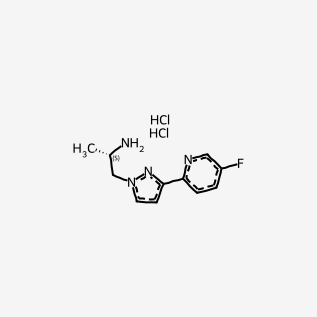 C[C@H](N)Cn1ccc(-c2ccc(F)cn2)n1.Cl.Cl